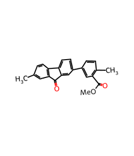 COC(=O)c1cc(-c2ccc3c(c2)C(=O)c2cc(C)ccc2-3)ccc1C